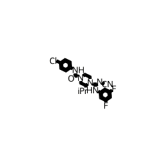 CC(C)C1CN(C(=O)Nc2ccc(Cl)cc2)CCN1/C(=N/C#N)Nc1cc(F)cc(F)c1